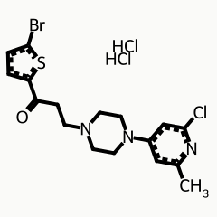 Cc1cc(N2CCN(CCC(=O)c3ccc(Br)s3)CC2)cc(Cl)n1.Cl.Cl